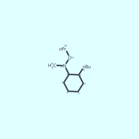 CCCCC1CCCCC1N(C)OCCC